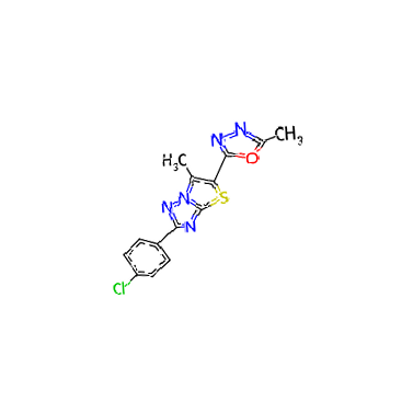 Cc1nnc(-c2sc3nc(-c4ccc(Cl)cc4)nn3c2C)o1